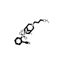 CCCCN1CC2CN(S(=O)(=O)c3ccccc3C#N)CC(C1)C2(C)C